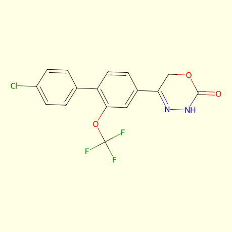 O=C1NN=C(c2ccc(-c3ccc(Cl)cc3)c(OC(F)(F)F)c2)CO1